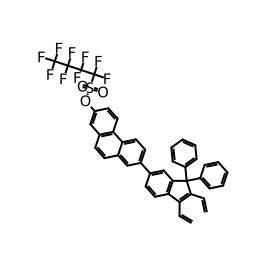 C=CC1=C(C=C)C(c2ccccc2)(c2ccccc2)c2cc(-c3ccc4c(ccc5cc(OS(=O)(=O)C(F)(F)C(F)(F)C(F)(F)C(F)(F)F)ccc54)c3)ccc21